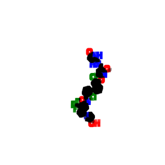 COc1nc(O[C@H]2CCc3c(-c4cccc(-c5nc6cc7c(c(C(F)(F)F)c6o5)CC[C@H]7N5CC[C@@H](O)C5)c4Cl)cccc32)c(Cl)cc1CNC[C@H]1CCC(=O)N1